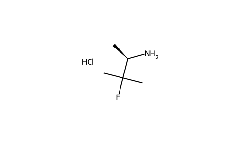 C[C@@H](N)C(C)(C)F.Cl